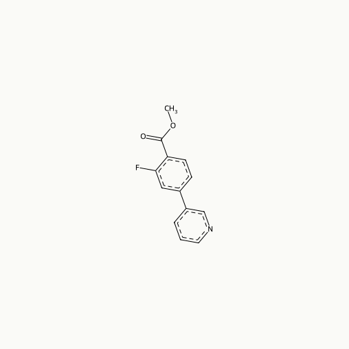 COC(=O)c1ccc(-c2cccnc2)cc1F